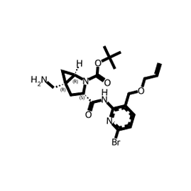 C=CCOCc1ccc(Br)nc1NC(=O)[C@@H]1C[C@@]2(CN)C[C@H]2N1C(=O)OC(C)(C)C